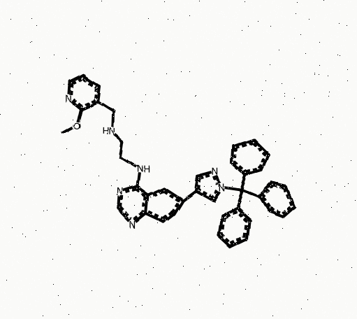 COc1ncccc1CNCCNc1ncnc2ccc(-c3cnn(C(c4ccccc4)(c4ccccc4)c4ccccc4)c3)cc12